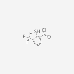 O=C(Cl)c1cccc(C(F)(F)F)c1S